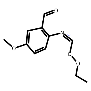 CCOO/C=N\c1ccc(OC)cc1C=O